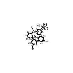 CCC(CC)(CC)c1ccc2c(c1)N(C)c1ccccc1[Si]2(c1ccc(C)cc1)c1ccc(C)cc1